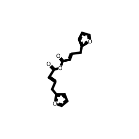 O=C(C=CCc1ccco1)OC(=O)C=CCc1ccco1